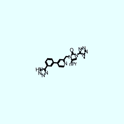 CCCc1cn(-c2nnnn2C)c(=O)n1Cc1cc(-c2cccc(-c3nnn[nH]3)c2)ccn1